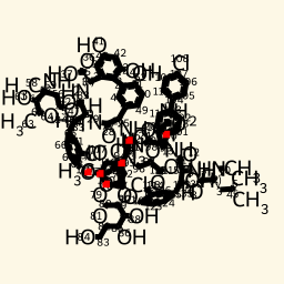 CN[C@H](CC(C)C)C(=O)NC1C(=O)N[C@@H](CC(N)=O)C(=O)N[C@H]2C(=O)NC3C(=O)N[C@H](C(=O)N[C@@H](C(=O)O)c4cc(O)cc(O)c4-c4cc3ccc4O)[C@H](OC3CC(C)(N)C(O)C(C)O3)c3ccc(c(Cl)c3)Oc3cc2cc(c3OC2OC(CO)C(O)C(O)C2OC2CC(C)(NCC(OCc3ccc(-c4ccc(Cl)cc4)cc3)C(=O)O)C(O)C(C)O2)Oc2ccc(cc2Cl)[C@H]1O